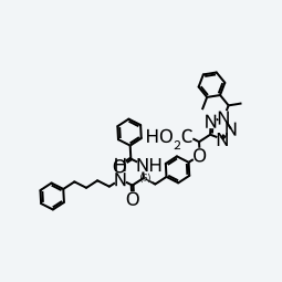 Cc1ccccc1C(C)n1nnc(C(Oc2ccc(C[C@H](NC(=O)c3ccccc3)C(=O)NCCCCc3ccccc3)cc2)C(=O)O)n1